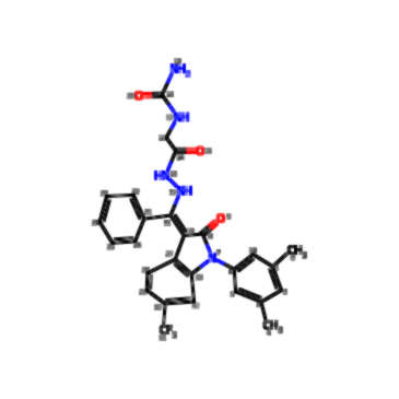 Cc1cc(C)cc(N2C(=O)/C(=C(\NNC(=O)CNC(N)=O)c3ccccc3)c3ccc(C(F)(F)F)cc32)c1